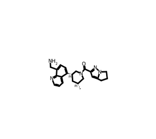 C[C@@H]1C[C@H](c2ccc(CN)c3ncccc23)CN(C(=O)c2cc3n(n2)CCC3)C1